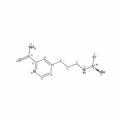 CC(C)(C)[S@+]([O-])NCCCc1ccnc(C(N)=O)c1